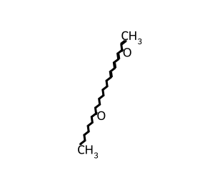 C/C=C/C(=O)/C=C/C=C/C=C/CCCCCCCC(=O)CCCCCCCC